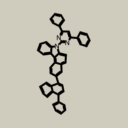 c1ccc(-c2cc(-c3ccccc3)nc(-n3c4ccccc4c4c5ccc(-c6ccc(-c7ccccc7)c7ccccc67)cc5ccc43)n2)cc1